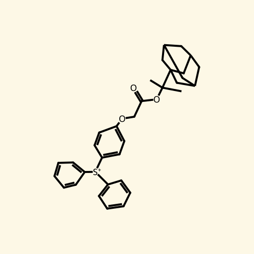 CC(C)(OC(=O)COc1ccc([S+](c2ccccc2)c2ccccc2)cc1)C12CC3CC(CC(C3)C1)C2